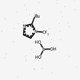 CCC(C)c1nccn1C(F)(F)F.OB(O)O